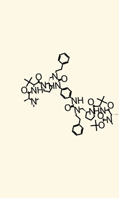 C[C@@H](C(=O)N[C@H](C(=O)N1CCC[C@H]1CN(CCc1ccccc1)C(=O)Nc1ccc(NC(=O)N(CCc2ccccc2)C[C@@H]2CCCN2C(=O)[C@@H](NC(=O)[C@H](C)N(C)C(=O)OC(C)(C)C)C(C)(C)C)cc1)C(C)(C)C)N(C)C